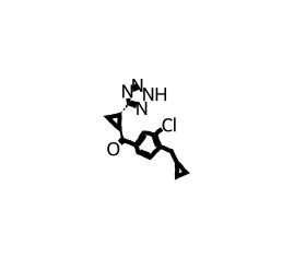 O=C(c1ccc(CC2CC2)c(Cl)c1)[C@H]1C[C@@H]1c1nn[nH]n1